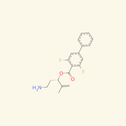 C=C(C)[C@H](CCN)OC(=O)c1c(F)cc(-c2ccccc2)cc1F